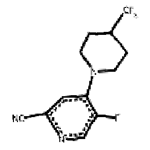 N#Cc1cc(N2CCC(C(F)(F)F)CC2)c(F)cn1